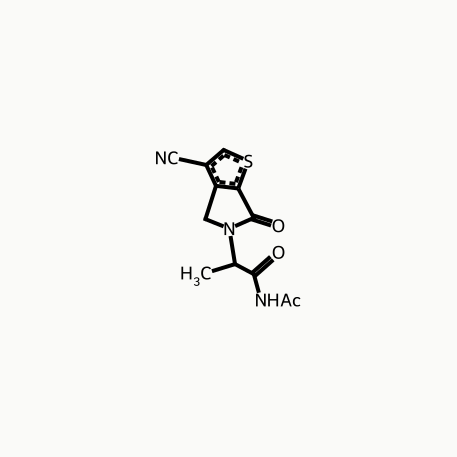 CC(=O)NC(=O)C(C)N1Cc2c(C#N)csc2C1=O